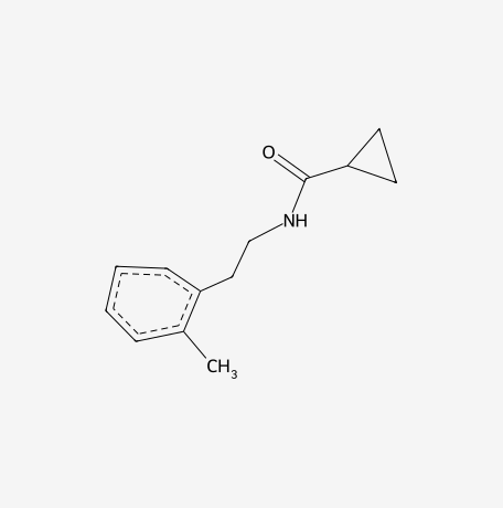 Cc1ccccc1CCNC(=O)C1CC1